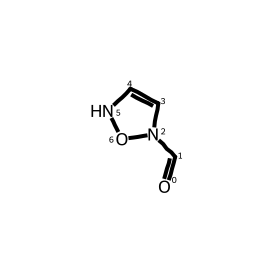 O=CN1C=CNO1